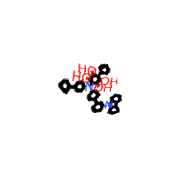 Oc1c(O)c(N(c2ccc(-c3ccccc3)cc2)c2ccc(-c3cccc(-n4c5ccccc5c5ccccc54)c3)cc2)c(O)c(O)c1-c1ccccc1